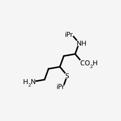 CC(C)NC(CC(CCN)SC(C)C)C(=O)O